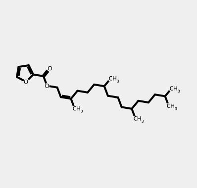 CC(=CCOC(=O)c1ccco1)CCCC(C)CCCC(C)CCCC(C)C